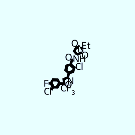 CCN1C(=O)CC(NC(=O)c2ccc(C3=NOC(c4ccc(F)c(Cl)c4)(C(F)(F)F)C3)cc2Cl)C1=O